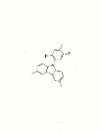 Cc1ccc2c(c1)c1cc(C)ccc1n2-c1cc(F)c(C)cc1F